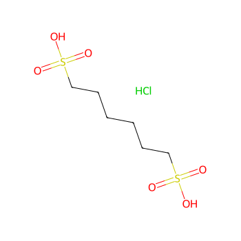 Cl.O=S(=O)(O)CCCCCCS(=O)(=O)O